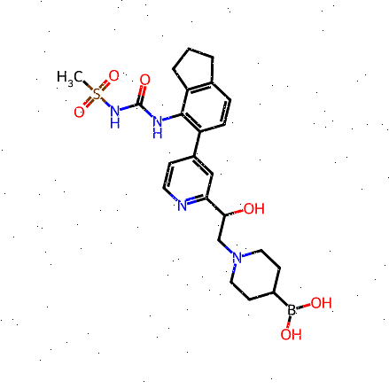 CS(=O)(=O)NC(=O)Nc1c(-c2ccnc(C(O)CN3CCC(B(O)O)CC3)c2)ccc2c1CCC2